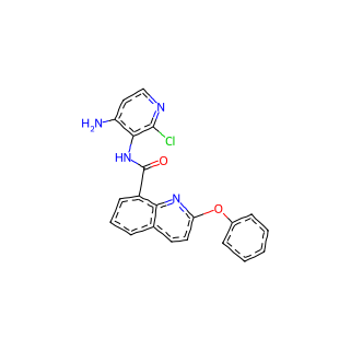 Nc1ccnc(Cl)c1NC(=O)c1cccc2ccc(Oc3ccccc3)nc12